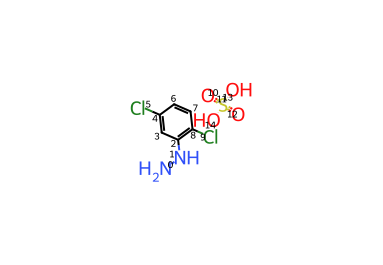 NNc1cc(Cl)ccc1Cl.O=S(=O)(O)O